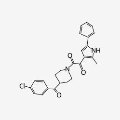 Cc1[nH]c(-c2ccccc2)cc1C(=O)C(=O)N1CCC(C(=O)c2ccc(Cl)cc2)CC1